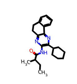 CCC(C)C(=O)Nc1nc2c(nc1C1CCCCC1)-c1ccccc1CC2